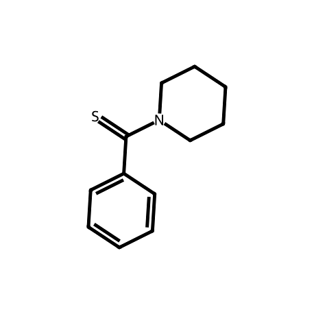 S=C(c1ccccc1)N1CCCCC1